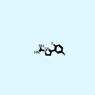 N=C(N)N1CCC(c2cc(F)ccc2F)=N1